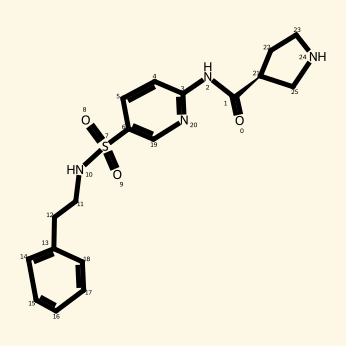 O=C(Nc1ccc(S(=O)(=O)NCCc2ccccc2)cn1)[C@H]1CCNC1